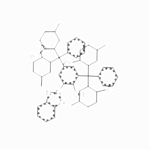 CC1CCC(C(C)C)C(C(c2ccccc2)(c2cc(-n3nc4ccccc4n3)c(O)c(C(c3ccccc3)(C3CC(C)CCC3C(C)C)C3CC(C)CCC3C(C)C)c2)C2CC(C)CCC2C(C)C)C1